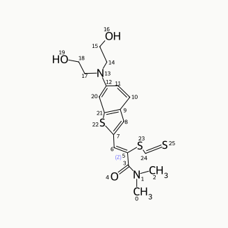 CN(C)C(=O)/C(=C/c1cc2ccc(N(CCO)CCO)cc2s1)SC=S